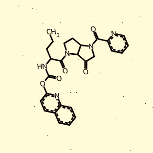 CCCC(NC(=O)Oc1ccc2ccccc2n1)C(=O)N1CCC2C1C(=O)CN2C(=O)c1ccccn1